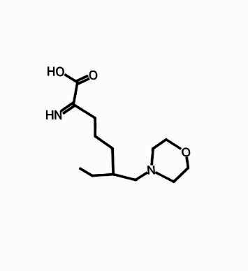 CCC(CCCC(=N)C(=O)O)CN1CCOCC1